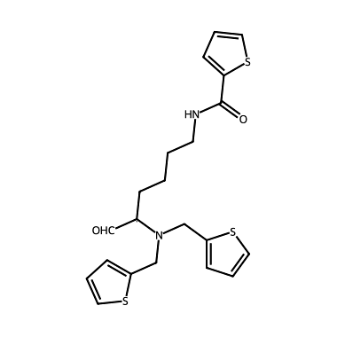 O=C[C](CCCCNC(=O)c1cccs1)N(Cc1cccs1)Cc1cccs1